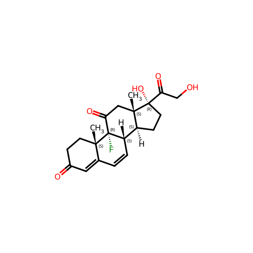 C[C@]12CCC(=O)C=C1C=C[C@H]1[C@@H]3CC[C@](O)(C(=O)CO)[C@@]3(C)CC(=O)[C@@]12F